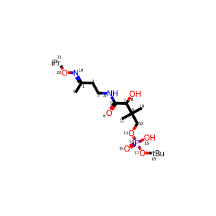 C/C(CCNC(=O)C(O)C(C)(C)COP(=O)(O)OC(C)(C)C)=N\OC(C)C